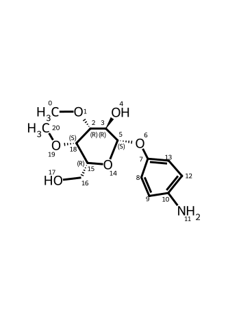 CO[C@@H]1[C@@H](O)[C@H](Oc2ccc(N)cc2)O[C@H](CO)[C@@H]1OC